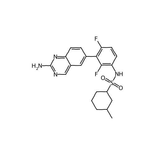 CC1CCCC(S(=O)(=O)Nc2ccc(F)c(-c3ccc4nc(N)ncc4c3)c2F)C1